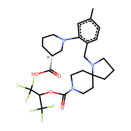 Cc1ccc(CN2CCCC23CCN(C(=O)OC(C(F)(F)F)C(F)(F)F)CC3)c(N2CCC[C@@H](C(=O)O)C2)c1